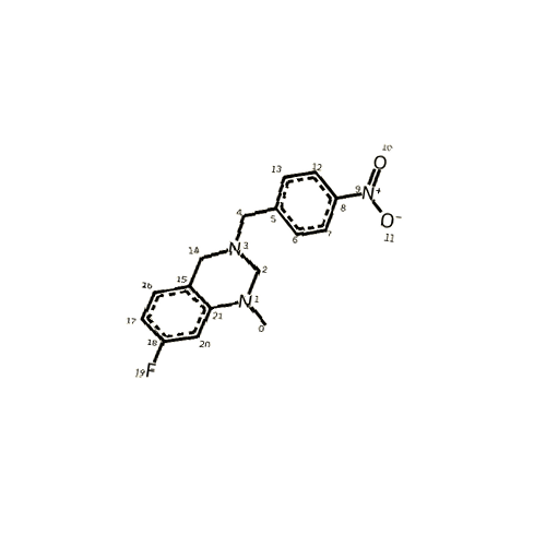 CN1CN(Cc2ccc([N+](=O)[O-])cc2)Cc2ccc(F)cc21